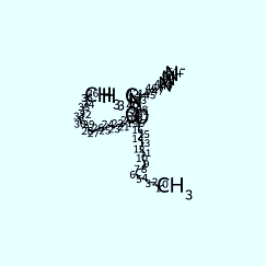 CCCCC/C=C\C/C=C\CCCCCCCCC1(CCCCCCCC/C=C\C/C=C\CCCCC)OC[C@H](CN(C)CCCCCCN=[N+]=[N-])O1